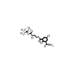 CC(C)(C)OC(=O)NCCSc1noc2c(C(N)=O)cc(Cl)cc12